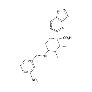 CC1C(NCc2cccc([N+](=O)[O-])c2)CCC(C(=O)O)(c2ncc3ccsc3n2)C1C